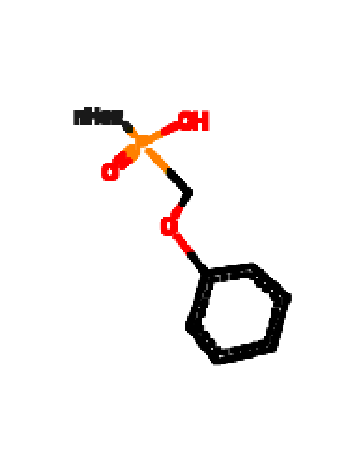 CCCCCCP(=O)(O)COc1ccccc1